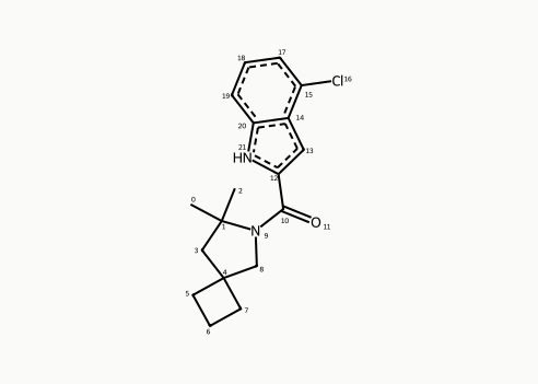 CC1(C)CC2(CCC2)CN1C(=O)c1cc2c(Cl)cccc2[nH]1